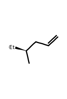 C=CC[C@@H](C)[CH]C